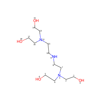 OCCN(CCO)CCNCCN(CCO)CCO